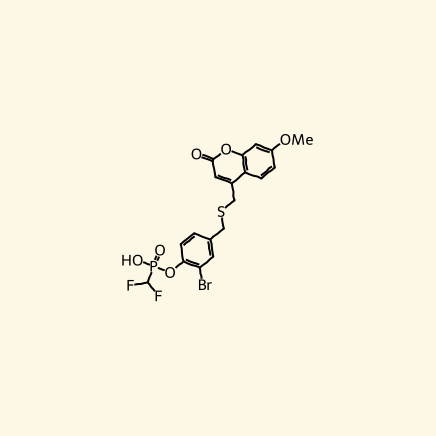 COc1ccc2c(CSCc3ccc(OP(=O)(O)C(F)F)c(Br)c3)cc(=O)oc2c1